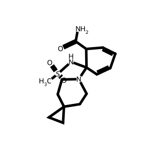 CS(=O)(=O)NC1(N2CCC3(CC2)CC3)C=CC=CC1C(N)=O